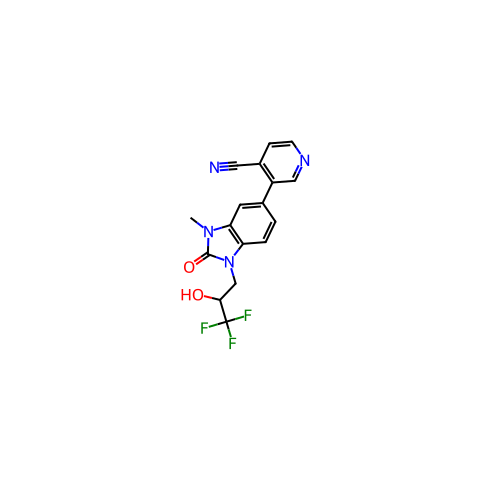 Cn1c(=O)n(CC(O)C(F)(F)F)c2ccc(-c3cnccc3C#N)cc21